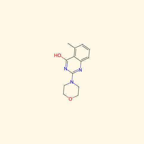 Cc1cccc2nc(N3CCOCC3)nc(O)c12